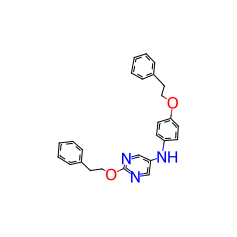 c1ccc(CCOc2ccc(Nc3cnc(OCCc4ccccc4)nc3)cc2)cc1